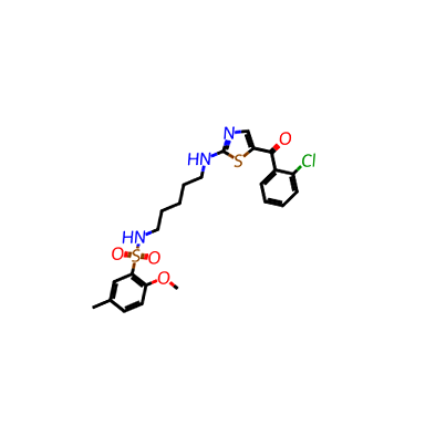 COc1ccc(C)cc1S(=O)(=O)NCCCCCNc1ncc(C(=O)c2ccccc2Cl)s1